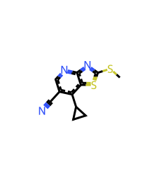 CSc1nc2ncc(C#N)c(C3CC3)c2s1